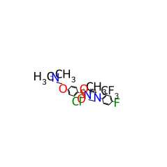 C[C@@H]1CN(c2ccc(F)cc2C(F)(F)F)CCN1S(=O)(=O)c1ccc(OCCN(C)C)cc1Cl